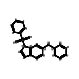 O=S(=O)(c1ccccc1)n1ccc2ccc(Oc3cccnn3)cc21